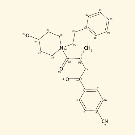 C[C@H](CC(=O)c1ccc(C#N)cc1)C(=O)[N+]1(CCc2ccccc2)CCC([O])CC1